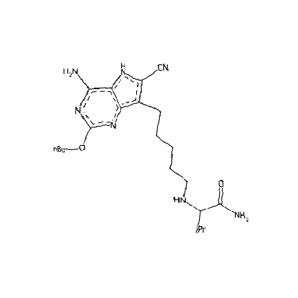 CCCCOc1nc(N)c2[nH]c(C#N)c(CCCCCNC(C(N)=O)C(C)C)c2n1